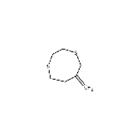 C=C1CCSCCSC1